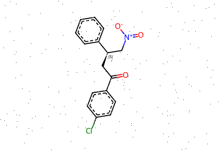 O=C(C[C@H](C[N+](=O)[O-])c1ccccc1)c1ccc(Cl)cc1